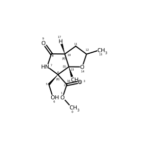 COC(=O)[C@]1(CO)NC(=O)[C@@H]2CC(C)O[C@@]21C